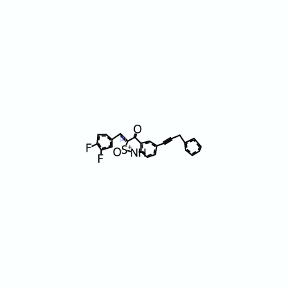 O=C1/C(=C/c2ccc(F)c(F)c2)[S+]([O-])Nc2ccc(C#CCc3ccccc3)cc21